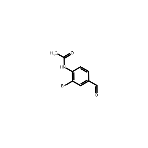 CC(=O)Nc1ccc(C=O)cc1Br